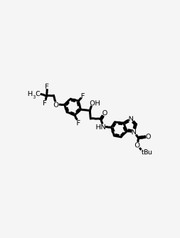 CC(F)(F)COc1cc(F)c(C(O)CC(=O)Nc2ccc3c(c2)ncn3C(=O)OC(C)(C)C)c(F)c1